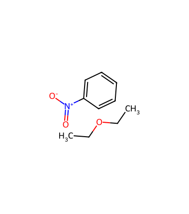 CCOCC.O=[N+]([O-])c1ccccc1